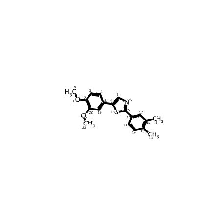 COc1ccc(-c2cnc(-c3ccc(C)c(C)c3)s2)cc1OC